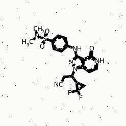 CN(C)S(=O)(=O)c1ccc(Nc2nn(C(CC#N)C3CC3(F)F)c3cc[nH]c(=O)c23)cc1